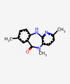 Cc1ccc2c(c1)C(=O)N(C)c1ccc(C)nc1N2